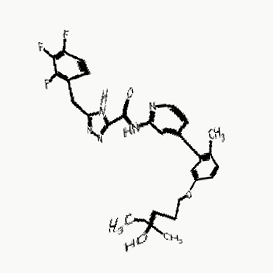 Cc1ccc(OCCCC(C)(C)O)cc1-c1ccnc(NC(=O)c2nnc(Cc3ccc(F)c(F)c3F)[nH]2)c1